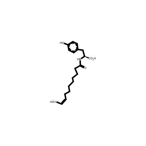 CCCCCCCC/C=C\CCCCCCCC(=O)N[C@@H](Cc1ccc(O)cc1)C(=O)O